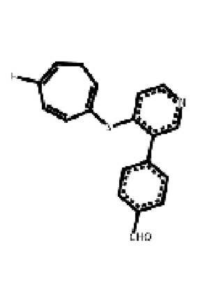 O=Cc1ccc(-c2cnccc2SC2=CCC=C(F)C=C2)cc1